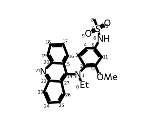 CCN(c1ccc(NS(C)(=O)=O)cc1OC)c1c2ccccc2nc2ccccc12